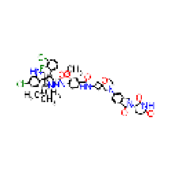 COc1cc(C(=O)NC2CC3(C2)CN(c2ccc4c(c2)CN(C2CCC(=O)NC2=O)C4=O)CCO3)ccc1NC(=O)[C@@H]1N[C@@H](CC(C)(C)C)[C@@]2(CNc3cc(Cl)ccc32)[C@H]1c1cccc(Cl)c1F